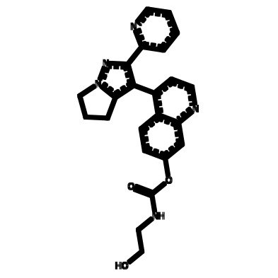 O=C(NCCO)Oc1ccc2c(-c3c(-c4ccccn4)nn4c3CCC4)ccnc2c1